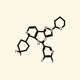 O=C(Nc1c(-c2ccn(C3CCCCO3)n2)ccnc1C1CCC(F)(F)CC1)c1cnc(F)c(F)c1